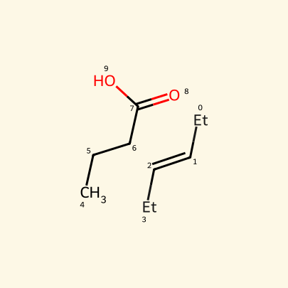 CCC=CCC.CCCC(=O)O